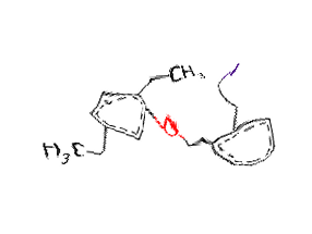 CCc1ccc(CC)c(OCc2ccccc2CI)c1